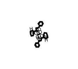 O=C(OC12CCC(CC=C1c1cc(-c3ccccc3)on1)N2)C(=O)OC12CCC(CC=C1c1cc(-c3ccccc3)on1)N2